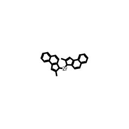 CC1=Cc2c(ccc3ccccc23)[CH]1[Zr][CH]1C(C)=Cc2c1ccc1ccccc21